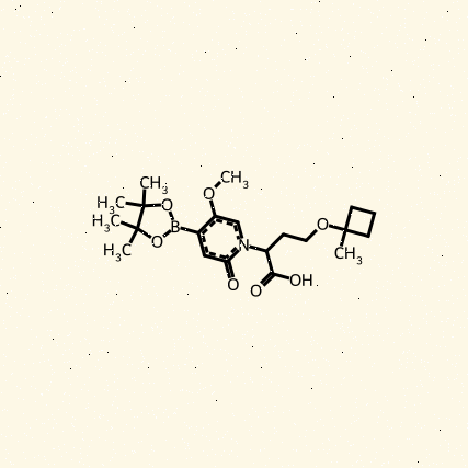 COc1cn(C(CCOC2(C)CCC2)C(=O)O)c(=O)cc1B1OC(C)(C)C(C)(C)O1